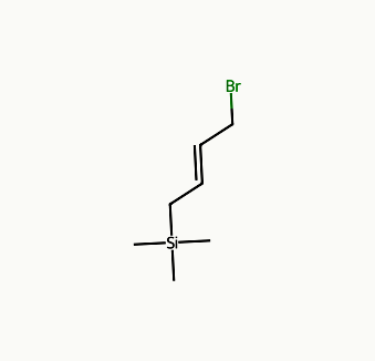 C[Si](C)(C)CC=CCBr